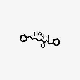 O=C(NCc1ccccc1)C(CCCCc1ccccc1)=NO